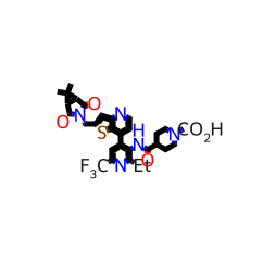 CCc1nc(C(F)(F)F)cc(-c2ccnc3cc(CN4C(=O)C5C(C4=O)C5(C)C)sc23)c1NC(=O)C1CCN(C(=O)O)CC1